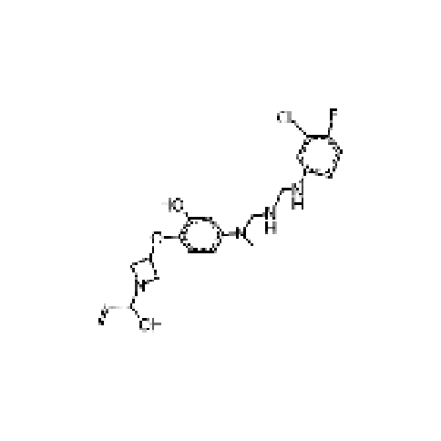 C=CC(O)N1CC(Oc2ccc(N(C)CNCNc3ccc(F)c(Cl)c3)cc2O)C1